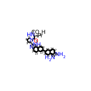 CC(C)[C@H](NC(=O)O)C(=O)N1CCC[C@H]1c1nc2ccc3cc(-c4ccc5c(N)c(N)ccc5c4)ccc3c2[nH]1